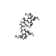 COc1cc(CN2CCN(C(=O)c3cc(OC)c(OC)c(OC)c3)CC2)cc(OC)c1OC